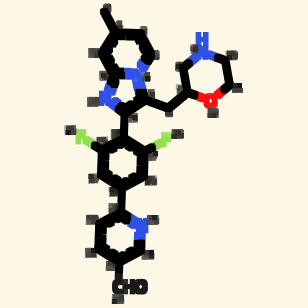 Cc1ccn2c(CC3CNCCO3)c(-c3c(F)cc(-c4ccc(C=O)cn4)cc3F)nc2c1